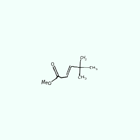 COC(=O)C=CC(C)(C)C